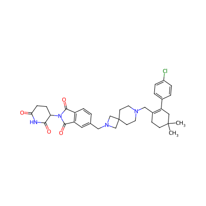 CC1(C)CCC(CN2CCC3(CC2)CN(Cc2ccc4c(c2)C(=O)N(C2CCC(=O)NC2=O)C4=O)C3)=C(c2ccc(Cl)cc2)C1